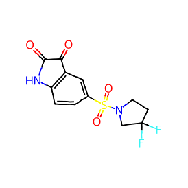 O=C1Nc2ccc(S(=O)(=O)N3CCC(F)(F)C3)cc2C1=O